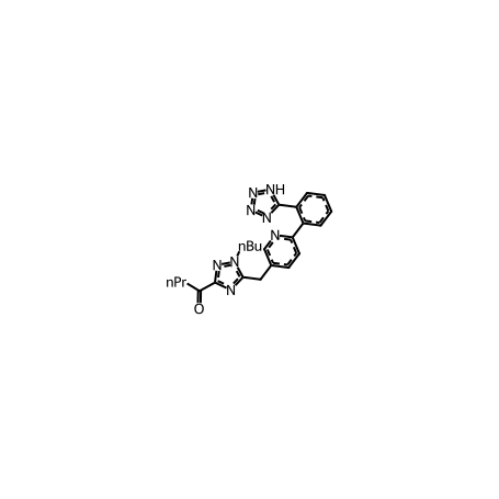 CCCCn1nc(C(=O)CCC)nc1Cc1ccc(-c2ccccc2-c2nnn[nH]2)nc1